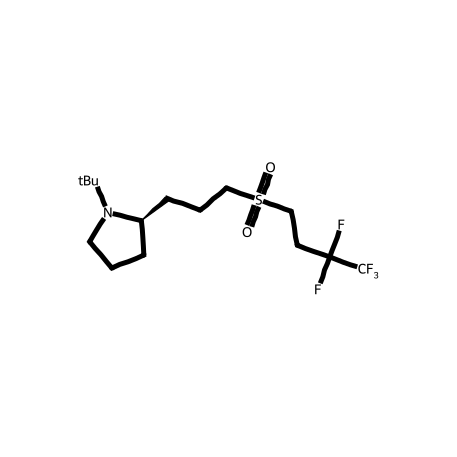 CC(C)(C)N1CCC[C@@H]1CCCS(=O)(=O)CCC(F)(F)C(F)(F)F